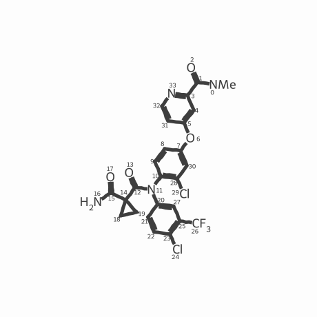 CNC(=O)c1cc(Oc2ccc(N(C(=O)C3(C(N)=O)CC3)c3ccc(Cl)c(C(F)(F)F)c3)c(Cl)c2)ccn1